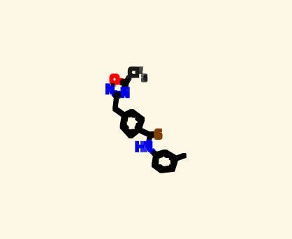 Cc1cccc(NC(=S)c2ccc(Cc3noc(C(F)(F)F)n3)cc2)c1